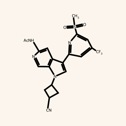 CC(=O)Nc1cc2c(-c3cc(C(F)(F)F)cc(S(C)(=O)=O)n3)cn(C3CC(C#N)C3)c2cn1